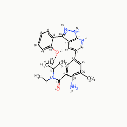 CCN(C(=O)c1cc(-c2cnc3[nH]nc(-c4ccccc4OC)c3c2)cc(C)c1N)C(C)C